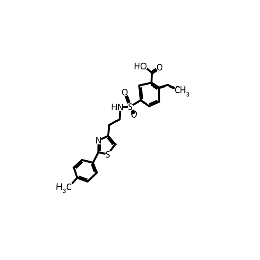 CCc1ccc(S(=O)(=O)NCCc2csc(-c3ccc(C)cc3)n2)cc1C(=O)O